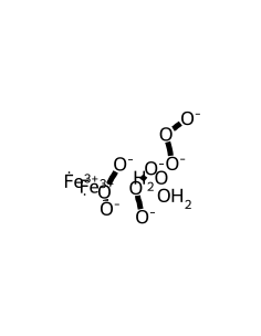 O.O.[Fe+3].[Fe+3].[O-]O[O-].[O-]O[O-].[O-]O[O-]